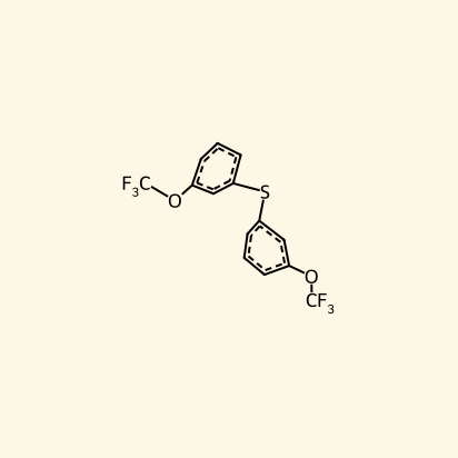 FC(F)(F)Oc1cccc(Sc2cccc(OC(F)(F)F)c2)c1